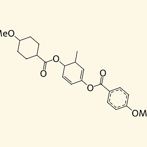 COc1ccc(C(=O)OC2=CC(C)C(OC(=O)C3CCC(OC)CC3)C=C2)cc1